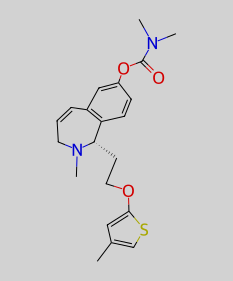 Cc1csc(OCC[C@H]2c3ccc(OC(=O)N(C)C)cc3C=CCN2C)c1